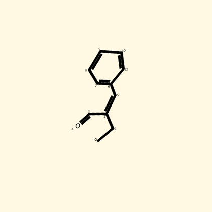 CCC([C]=O)=Cc1ccccc1